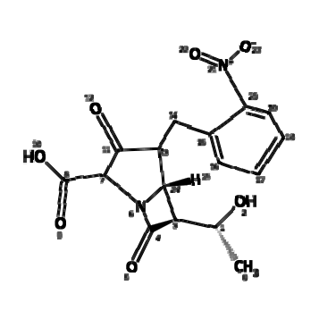 C[C@@H](O)[C@H]1C(=O)N2C(C(=O)O)C(=O)C(Cc3ccccc3[N+](=O)[O-])[C@H]12